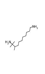 CC(CCCCCCCCN)C(C)(C)N